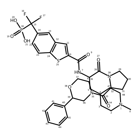 CN1CCC(CC(NC(=O)c2cc3cc(C(F)(F)P(=O)(O)O)ccc3s2)C(=O)N2CCCC2C(=O)N2CCOC(c3ccccc3)C2)CC1